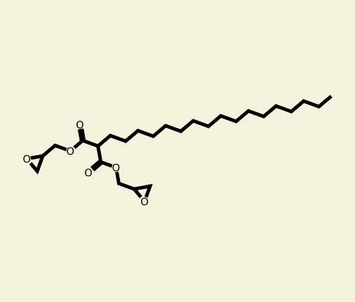 CCCCCCCCCCCCCCCCCC(C(=O)OCC1CO1)C(=O)OCC1CO1